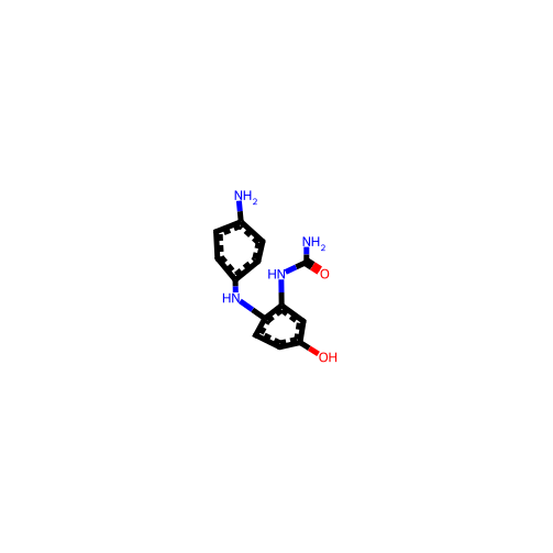 NC(=O)Nc1cc(O)ccc1Nc1ccc(N)cc1